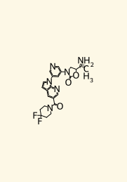 C[C@@H](N)C1CN(c2cncc(-n3ccc4cc(C(=O)N5CCC(F)(F)CC5)cnc43)c2)C(=O)O1